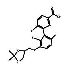 CC1(C)OCC(COc2ccc(F)c(-c3nc(C(=O)O)ccc3F)c2F)O1